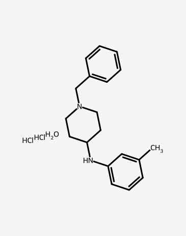 Cc1cccc(NC2CCN(Cc3ccccc3)CC2)c1.Cl.Cl.O